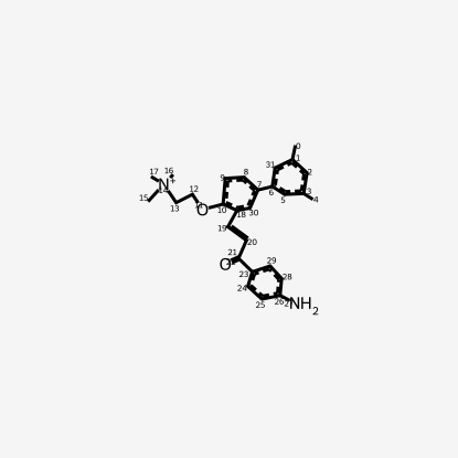 Cc1cc(C)cc(-c2ccc(OCC[N+](C)(C)C)c(C=CC(=O)c3ccc(N)cc3)c2)c1